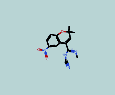 C/N=C(\NC#N)C1=CC(C)(C)Oc2ccc([N+](=O)[O-])cc21